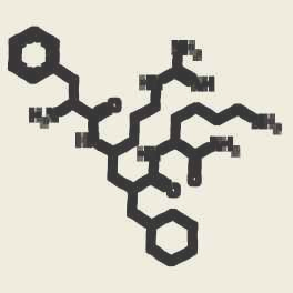 N=C(N)NCCCC(CC(CC1CCCCC1)C(=O)NC(CCCCN)C(N)=O)NC(=O)C(N)Cc1ccccc1